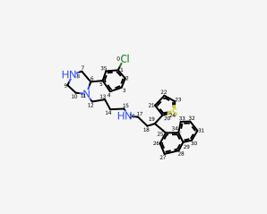 Clc1cccc(C2CNCCN2CCCCNCCC(c2cccs2)c2cccc3ccccc23)c1